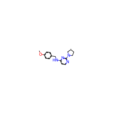 COc1ccc(CNc2ccnc(N3C[CH]CC3)n2)cc1